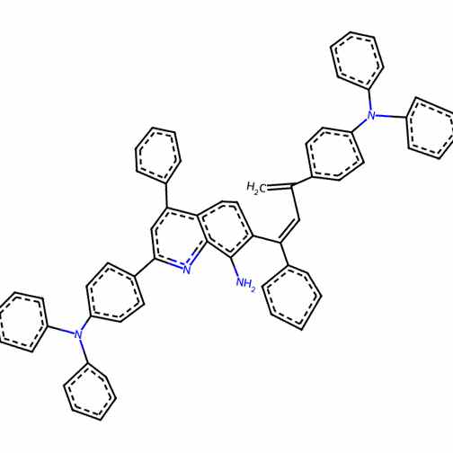 C=C(/C=C(/c1ccccc1)c1ccc2c(-c3ccccc3)cc(-c3ccc(N(c4ccccc4)c4ccccc4)cc3)nc2c1N)c1ccc(N(c2ccccc2)c2ccccc2)cc1